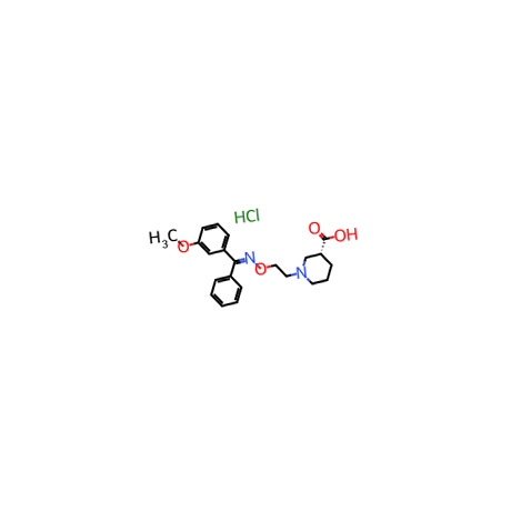 COc1cccc(C(=NOCCN2CCC[C@@H](C(=O)O)C2)c2ccccc2)c1.Cl